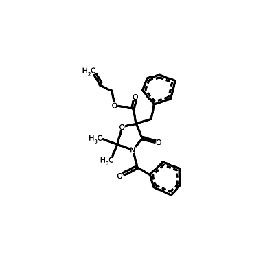 C=CCOC(=O)C1(Cc2ccccc2)OC(C)(C)N(C(=O)c2ccccc2)C1=O